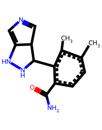 Cc1ccc(C(N)=O)c(C2NNC3=CN=CC32)c1C